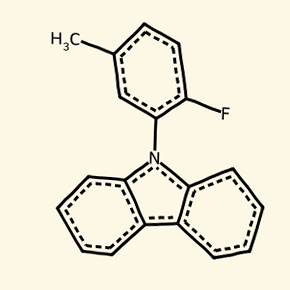 Cc1ccc(F)c(-n2c3ccccc3c3ccccc32)c1